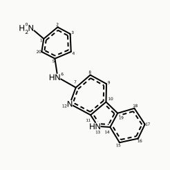 Nc1cccc(Nc2ccc3c(n2)[nH]c2ccccc23)c1